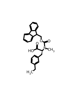 CCc1cccc(C[C@@H](C(=O)O)N(C)C(=O)OCC2c3ccccc3-c3ccccc32)c1